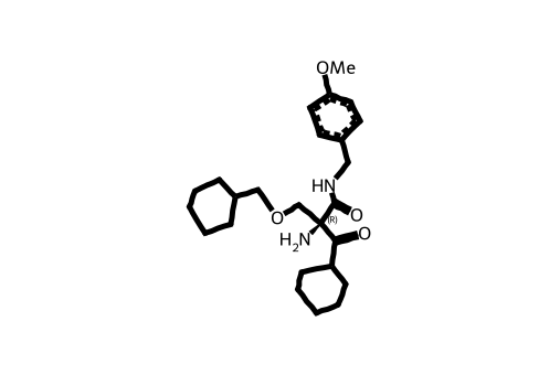 COc1ccc(CNC(=O)[C@@](N)(COCC2CCCCC2)C(=O)C2CCCCC2)cc1